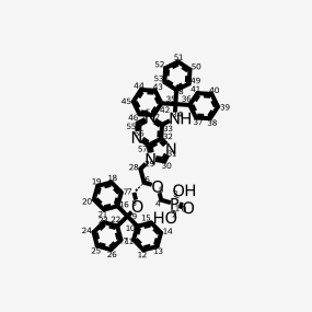 O=P(O)(O)CO[C@H](COC(c1ccccc1)(c1ccccc1)c1ccccc1)Cn1cnc2c(NC(c3ccccc3)(c3ccccc3)c3ccccc3)ncnc21